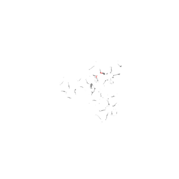 c1ccc(-c2ccc(-c3cccc4ccccc34)cc2N(c2cccc(-c3cccc4oc5ccccc5c34)c2)c2ccc3c(c2)sc2ccccc23)cc1